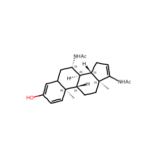 CC(=O)NC1=CC[C@H]2[C@@H]3[C@@H](NC(C)=O)CC4C=C(O)C=C[C@]4(C)[C@H]3CC[C@]12C